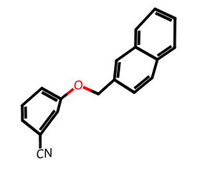 N#Cc1cccc(OCc2ccc3ccccc3c2)c1